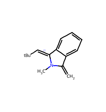 C=c1c2ccccc2/c(=C/C(C)(C)C)n1C